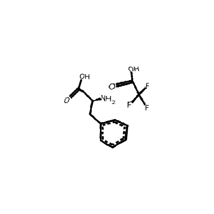 N[C@@H](Cc1ccccc1)C(=O)O.O=C(O)C(F)(F)F